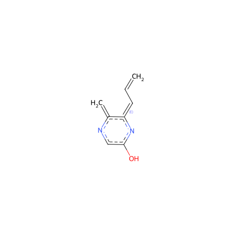 C=C/C=c1/nc(O)cnc1=C